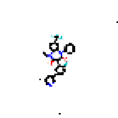 CCN1C(=O)C(c2cc(-c3cccnc3)ccc2F)C(=O)N(c2ccccc2)c2cc(C(F)(F)F)ccc21